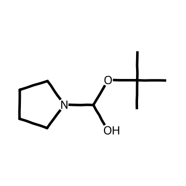 CC(C)(C)OC(O)N1CCCC1